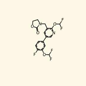 O=C1OCCN1Cc1cc(-c2ccc(F)c(OC(F)F)c2)cnc1OC(F)F